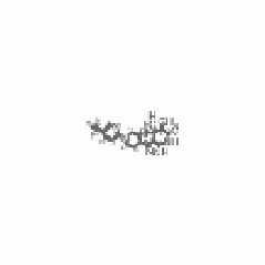 CC1C(=O)Nc2[nH]nc(C3CCN(c4ccc(C(F)(F)F)cn4)CC3)c2C1(O)C(F)(F)F